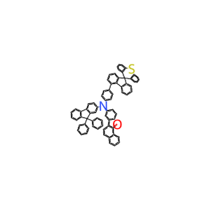 c1ccc(C2(c3ccccc3)c3ccccc3-c3ccc(N(c4ccc(-c5cccc6c5-c5ccccc5C65c6ccccc6Sc6ccccc65)cc4)c4ccc5oc6c7ccccc7ccc6c5c4)cc32)cc1